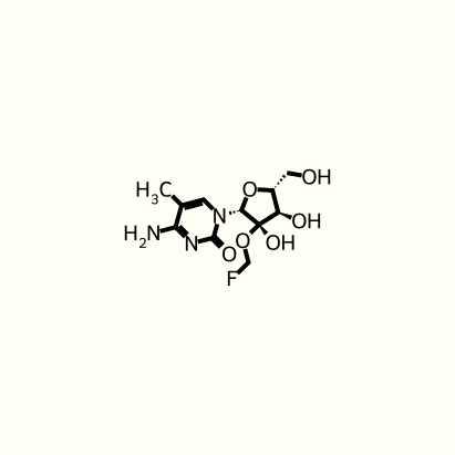 Cc1cn([C@@H]2O[C@H](CO)[C@@H](O)[C@]2(O)OCF)c(=O)nc1N